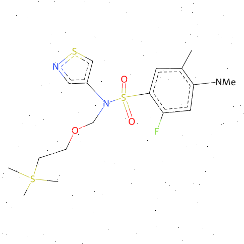 CNc1cc(F)c(S(=O)(=O)N(COCCS(C)(C)C)c2cnsc2)cc1C